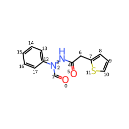 O=CN(NC(=O)Cc1cccs1)c1ccccc1